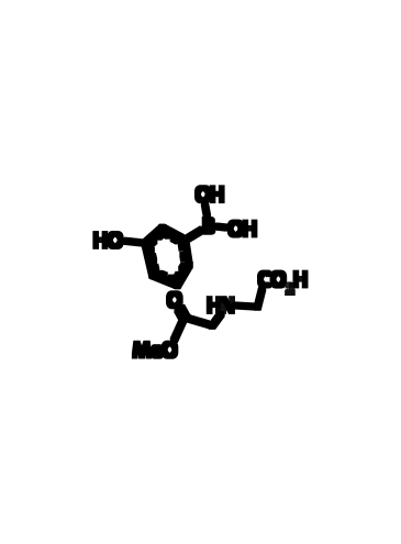 COC(=O)CNCC(=O)O.OB(O)c1cccc(O)c1